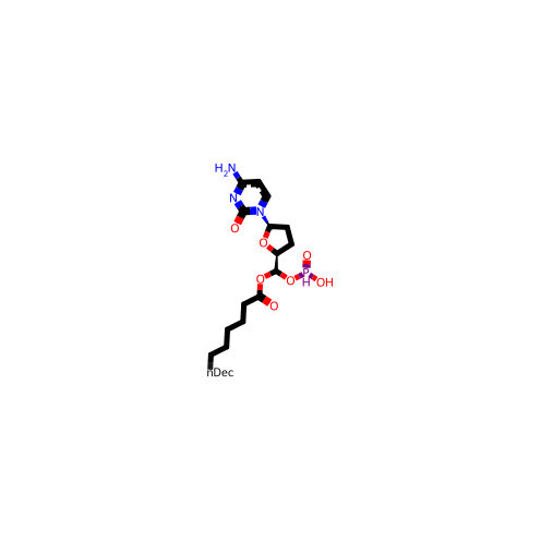 CCCCCCCCCCCCCCCC(=O)OC(O[PH](=O)O)[C@@H]1CC[C@H](n2ccc(N)nc2=O)O1